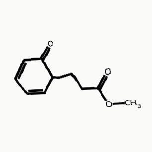 COC(=O)CCC1C=CC=CC1=O